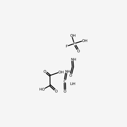 N=C=O.N=C=O.O=C(O)C(=O)O.O=P(O)(O)F.[LiH]